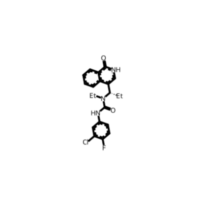 CC[C@@H](c1c[nH]c(=O)c2ccccc12)N(CC)C(=O)Nc1ccc(F)c(Cl)c1